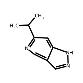 CC(C)c1cc2[nH]ncc2cn1